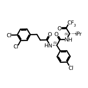 CC(C)[C@H](NC(=O)[C@@H](NC(=O)CCc1ccc(Cl)c(Cl)c1)c1ccc(Cl)cc1)C(=O)C(F)(F)F